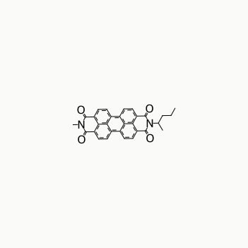 CCCC(C)N1C(=O)c2ccc3c4ccc5c6c(ccc(c7ccc(c2c37)C1=O)c64)C(=O)N(C)C5=O